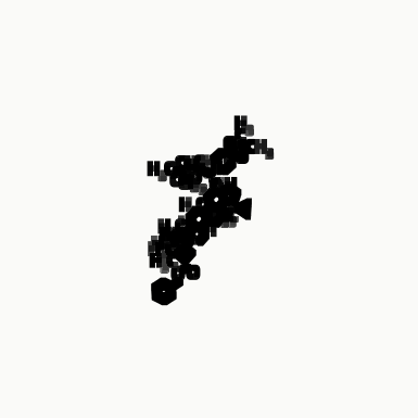 CC(C)S(=O)(=O)N1CCN([C@H](CN[C@]23CC[C@@H](C4(C)CC4)[C@@H]2[C@H]2CC[C@@H]4[C@]5(C)CC[C@H]([C@@]6(C(=O)O)C[C@@H](C(=O)OCc7ccccc7)C6(C)C)C(C)(C)[C@H]5CC[C@@]4(C)[C@]2(C)CC3)[C@@H](C)O[Si](C)(C)C(C)(C)C)CC1